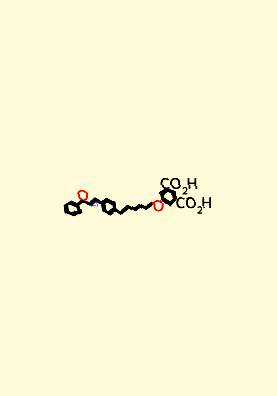 O=C(O)c1cc(OCCCCCCc2ccc(/C=C/C(=O)c3ccccc3)cc2)cc(C(=O)O)c1